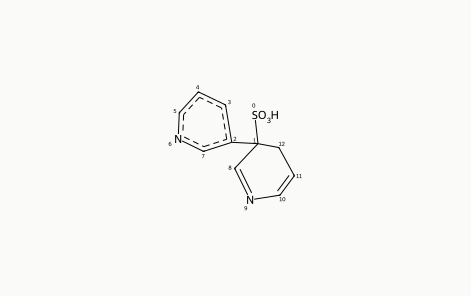 O=S(=O)(O)C1(c2cccnc2)C=NC=CC1